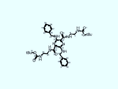 CC(C)(C)OC(=O)NCCNC(=O)c1nc(NCc2ccccc2)c(C(=O)NCCNC(=O)OC(C)(C)C)nc1NCc1ccccc1